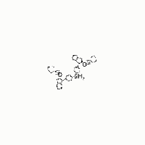 C[Si](C)(OC1=Cc2ccccc2C1c1ccc([SiH2]c2ccc(C3C(O[Si](C)(C)C4CCCCC4)=Cc4ccccc43)cc2)cc1)C1CCCCC1